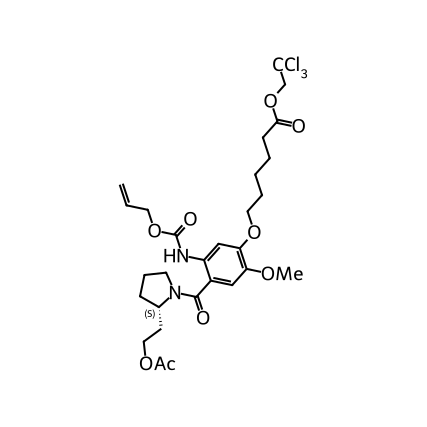 C=CCOC(=O)Nc1cc(OCCCCCC(=O)OCC(Cl)(Cl)Cl)c(OC)cc1C(=O)N1CCC[C@H]1CCOC(C)=O